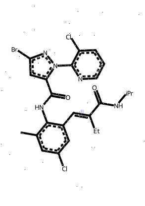 CC/C(=C\c1cc(Cl)cc(C)c1NC(=O)c1cc(Br)nn1-c1ncccc1Cl)C(=O)NC(C)C